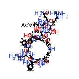 CCCC[C@H](NC(=O)[C@H](CO)NC(=O)[C@H](CCCCNC(=N)N)NC(=O)[C@H](CCC(N)=O)NC(=O)[C@H](CO)NC(=O)CNC(C)=O)C(=O)N[C@H]1CCC(=O)CCNCCCC[C@@H](C(N)=O)NC(=O)[C@H](Cc2c[nH]c3ccccc23)NC(=O)[C@H](CCCNC(=N)N)NC(=O)[C@@H](Cc2ccccc2)NC(=O)[C@@H]2C[C@@H](O)CN2C1=O